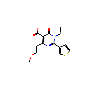 CCn1c(-c2ccsc2)nc(CCOC)c(C(=O)O)c1=O